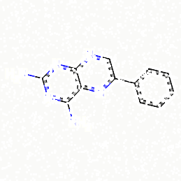 Nc1nc(N)c2nc(-c3ccccc3)cnc2n1